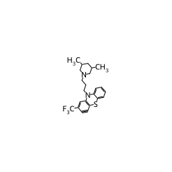 CC1CC(C)CN(CCCN2c3cc(C(F)(F)F)c#cc3Sc3ccccc32)C1